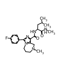 CNC(=O)C(CC(C)C)NC(=O)c1nc(-c2ccc(F)cc2)n2c1CN(C)CCC2